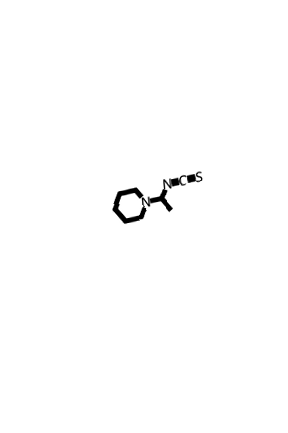 CC(N=C=S)N1CCCCC1